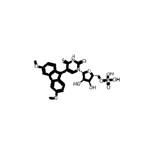 COc1ccc2c(c1)-c1cc(OC)ccc1C2c1cn([C@@H]2O[C@H](COP(=O)(O)O)[C@@H](O)[C@H]2O)c(=O)[nH]c1=S